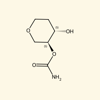 NC(=O)O[C@H]1COCC[C@@H]1O